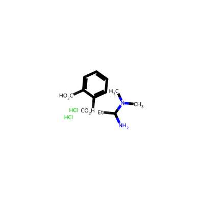 CCC(N)N(C)C.Cl.Cl.O=C(O)c1ccccc1C(=O)O